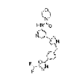 O=C(Nc1cncc(-c2nnn(Cc3ccc(-c4nnc(C(F)F)o4)cc3)n2)c1)N1CCOCC1